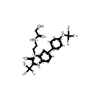 O=C(CO)NCCn1c(=O)c(C(F)(F)F)nc2ccc(-c3ccc(OC(F)(F)F)cc3)cc21